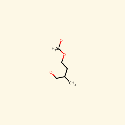 CC(C[O])CCO[SiH2][O]